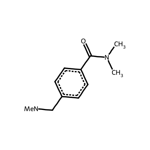 CNCc1ccc(C(=O)N(C)C)cc1